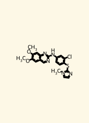 COc1cc2cnc(Nc3ccc(Sc4nccn4C)c(Cl)c3)nc2cc1OC